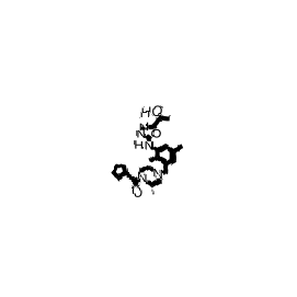 Cc1cc(CN2CCN(C(=O)C3CCCC3)[C@@H](C)C2)c(C)c(Nc2nnc(C(C)O)o2)c1